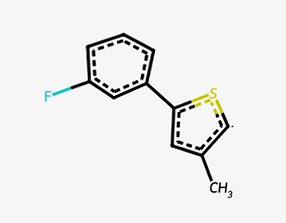 Cc1[c]sc(-c2cccc(F)c2)c1